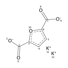 O=C([O-])c1ccc(C(=O)[O-])o1.[K+].[K+]